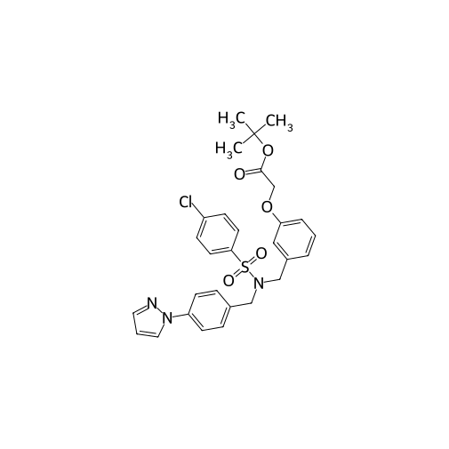 CC(C)(C)OC(=O)COc1cccc(CN(Cc2ccc(-n3cccn3)cc2)S(=O)(=O)c2ccc(Cl)cc2)c1